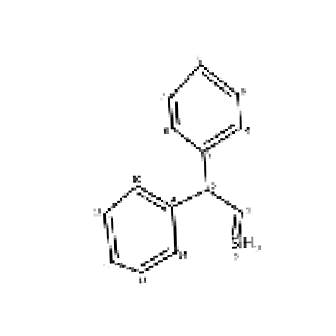 [SiH2]=CC(c1ccccc1)c1ccccc1